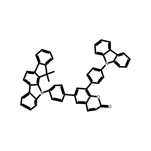 CC1(C)c2ccccc2-c2ccc3c4ccccc4n(-c4ccc(-c5cc(-c6ccc(-n7c8ccccc8c8ccccc87)cc6)c6oc(=O)ccc6c5)cc4)c3c21